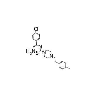 C=C(/N=C(\SN)N1CCN(CCc2ccc(C)cc2)CC1)c1ccc(Cl)cc1